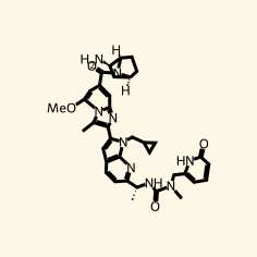 COc1cc(C(=O)N2[C@H]3CC[C@@H]2[C@H](N)C3)cc2nc(-c3cc4ccc([C@@H](C)NC(=O)N(C)Cc5cccc(=O)[nH]5)nc4n3CC3CC3)c(C)n12